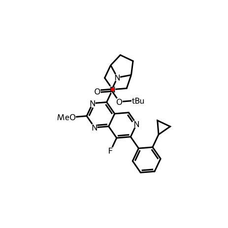 COc1nc(N2CC3CCC(C2)N3C(=O)OC(C)(C)C)c2cnc(-c3ccccc3C3CC3)c(F)c2n1